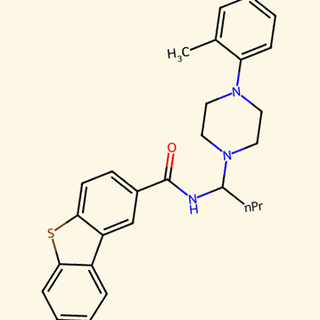 CCCC(NC(=O)c1ccc2sc3ccccc3c2c1)N1CCN(c2ccccc2C)CC1